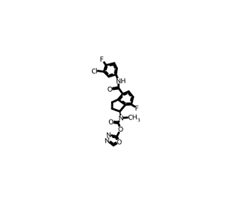 CN(C(=O)Oc1nnco1)[C@H]1CCc2c(C(=O)Nc3ccc(F)c(Cl)c3)ccc(F)c21